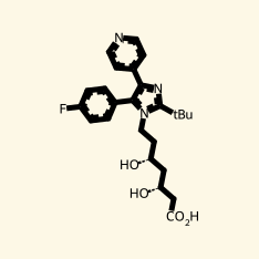 CC(C)(C)c1nc(-c2ccncc2)c(-c2ccc(F)cc2)n1CC[C@@H](O)C[C@@H](O)CC(=O)O